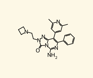 Cc1cc(-c2c(-c3ccccc3)nc(N)n3c(=O)n(CCN4CCC4)nc23)cc(C)n1